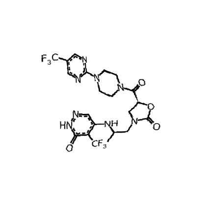 CC(CN1C[C@@H](C(=O)N2CCN(c3ncc(C(F)(F)F)cn3)CC2)OC1=O)Nc1cn[nH]c(=O)c1C(F)(F)F